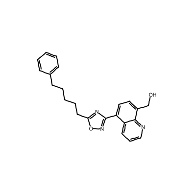 OCc1ccc(-c2noc(CCCCCc3ccccc3)n2)c2cccnc12